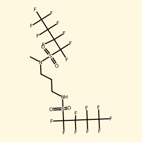 CN(CCCNS(=O)(=O)C(F)(F)C(F)(F)C(F)(F)C(F)(F)F)S(=O)(=O)C(F)(F)C(F)(F)C(F)(F)C(F)(F)F